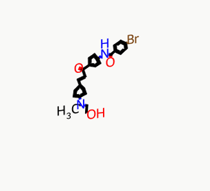 CN(CCO)c1ccc(/C=C/C(=O)c2ccc(NC(=O)c3ccc(Br)cc3)cc2)cc1